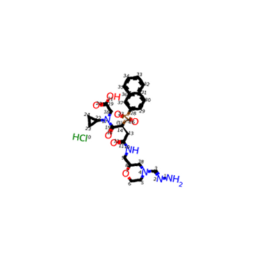 Cl.NN=CN1CCOC(CNC(=O)C[C@@H](C(=O)N(CC(=O)O)C2CC2)S(=O)(=O)c2ccc3ccccc3c2)C1